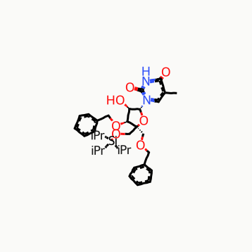 Cc1cn([C@@H]2O[C@@](COCc3ccccc3)(CO[Si](C(C)C)(C(C)C)C(C)C)[C@@H](OCc3ccccc3)[C@H]2O)c(=O)[nH]c1=O